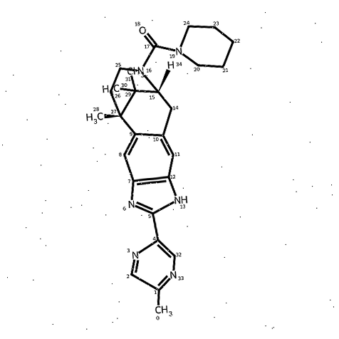 Cc1cnc(-c2nc3cc4c(cc3[nH]2)C[C@H]2N(C(=O)N3CCCCC3)CC[C@]4(C)C2(C)C)cn1